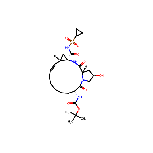 CC(C)(C)OC(=O)N[C@@H]1CCCCC/C=C\[C@@H]2C[C@@]2(C(=O)NS(=O)(=O)C2CC2)NC(=O)[C@@H]2C[C@@H](O)CN2C1=O